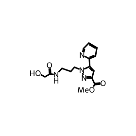 COC(=O)c1cc(-c2ccccn2)n(CCCNC(=O)CO)n1